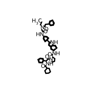 CCCN(CC(=O)Nc1ccc(-c2cc3cc(NC(=O)[C@@H]4CCCN4C(=O)[C@H](NC(=O)C4CCCCC4)c4ccccc4)ccc3[nH]2)cc1)C(=O)Cc1ccccc1